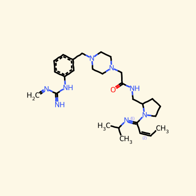 C=NC(=N)Nc1cccc(CN2CCN(CC(=O)NCC3CCCN3C(/C=C\C)=N/C(C)C)CC2)c1